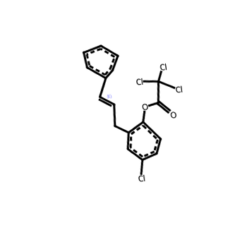 O=C(Oc1ccc(Cl)cc1C/C=C/c1ccccc1)C(Cl)(Cl)Cl